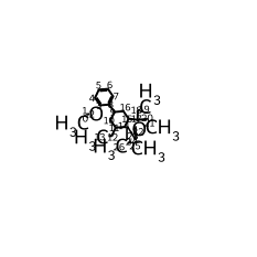 CCOc1ccccc1C1CC(CC)C2C(C1)C(CC)(CC)ON2C(C)C